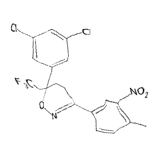 Cc1ccc(C2=NOC(c3cc(Cl)cc(Cl)c3)(C(F)(F)F)C2)cc1[N+](=O)[O-]